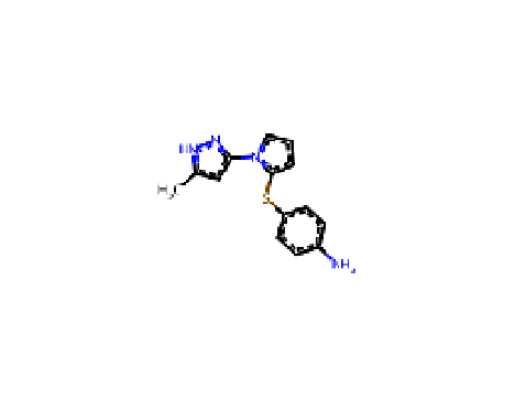 Cc1cc(-n2cccc2Sc2ccc(N)cc2)n[nH]1